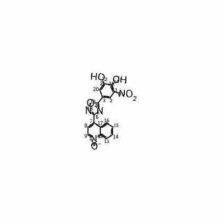 O=[N+]([O-])c1cc(-c2nc(-c3cc[n+]([O-])c4ccccc34)no2)cc(O)c1O